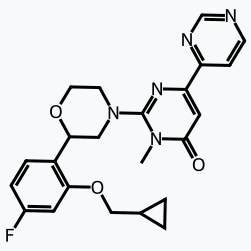 Cn1c(N2CCOC(c3ccc(F)cc3OCC3CC3)C2)nc(-c2ccncn2)cc1=O